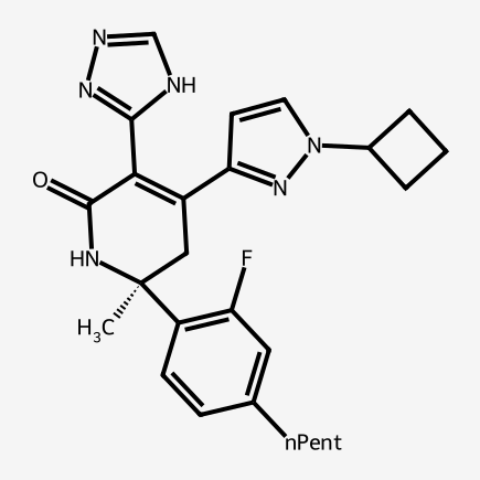 CCCCCc1ccc([C@]2(C)CC(c3ccn(C4CCC4)n3)=C(c3nnc[nH]3)C(=O)N2)c(F)c1